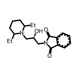 CCC1CCCC(CC)N1C[C@@H](O)CN1C(=O)c2ccccc2C1=O